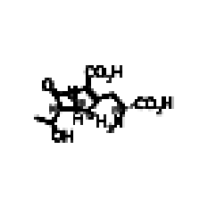 CC(O)[C@H]1C(=O)N2C(C(=O)O)=C(C[C@@H](N)C(=O)O)S[C@H]12